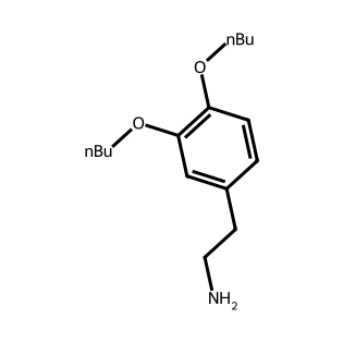 CCCCOc1ccc(CCN)cc1OCCCC